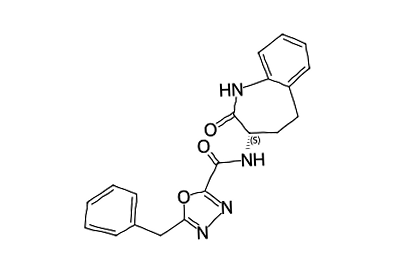 O=C(N[C@H]1CCc2ccccc2NC1=O)c1nnc(Cc2ccccc2)o1